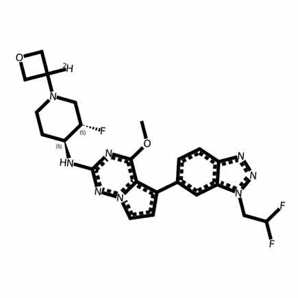 [2H]C1(N2CC[C@H](Nc3nc(OC)c4c(-c5ccc6nnn(CC(F)F)c6c5)ccn4n3)[C@@H](F)C2)COC1